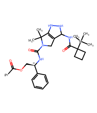 CC(C)C(=O)OC[C@@H](NC(=O)N1CC2=C(NNC2NC(=O)C2([Si](C)(C)C)CCC2)C1(C)C)c1ccccc1